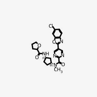 CN(C(=O)c1ncc(-c2nc3ccc(Cl)cc3o2)cn1)[C@@H]1CC[C@H](NC(=O)C2CCCO2)C1